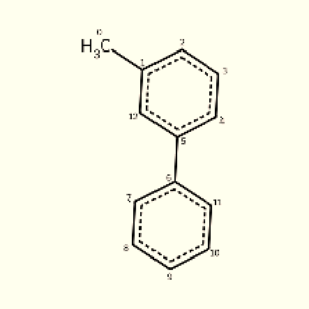 Cc1cc[c]c(-c2[c]cccc2)c1